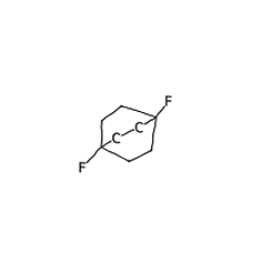 FC12CCC(F)(CC1)CC2